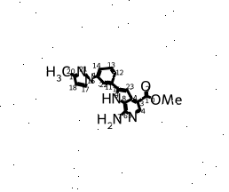 COC(=O)c1cnc(N)c2[nH]c(-c3cccc(-n4ccc(C)n4)c3)cc12